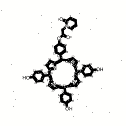 O=C(Cn1ccccc1=O)Oc1ccc(-c2c3nc(c(-c4ccc(O)cc4)c4ccc([nH]4)c(-c4ccc(O)cc4)c4nc(c(-c5ccc(O)cc5)c5ccc2[nH]5)C=C4)C=C3)cc1